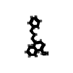 Oc1ccc(CSCc2ccccc2)c2ccccc12